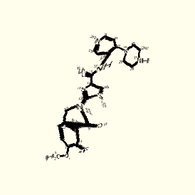 COc1ccc2c(c1F)C(=O)N(c1nc(C(=O)Nc3cnccc3N3CCNCC3)cs1)C2